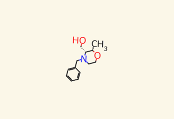 C[C@H]1OCCN(Cc2ccccc2)[C@@H]1CO